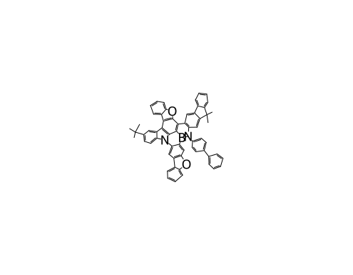 CC(C)(C)c1ccc2c(c1)c1c3c(oc4ccccc43)c3c4c1n2-c1cc2c(cc1B4N(c1ccc(-c4ccccc4)cc1)c1cc4c(cc1-3)-c1ccccc1C4(C)C)oc1ccccc12